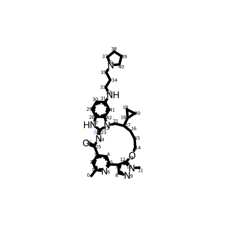 Cc1cc2cc(n1)-c1cnn(C)c1OCCCC(C1CC1)CN1/C(=N/C2=O)Nc2ccc(NCCCN3CCCC3)cc21